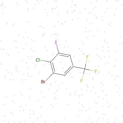 FC(F)(F)c1cc(Br)c(Cl)c(I)c1